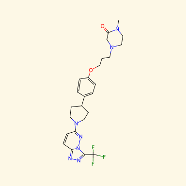 CN1CCN(CCCOc2ccc(C3CCN(c4ccc5nnc(C(F)(F)F)n5n4)CC3)cc2)CC1=O